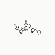 Clc1ccc(-c2cncc3[nH]c(-c4n[nH]c5ccc(-c6cncc(OC7CCCCC7)c6)nc45)nc23)s1